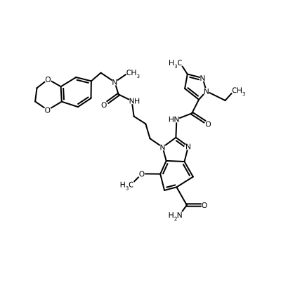 CCn1nc(C)cc1C(=O)Nc1nc2cc(C(N)=O)cc(OC)c2n1CCCNC(=O)N(C)Cc1ccc2c(c1)OCCO2